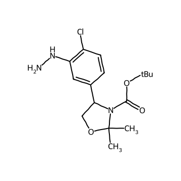 CC(C)(C)OC(=O)N1C(c2ccc(Cl)c(NN)c2)COC1(C)C